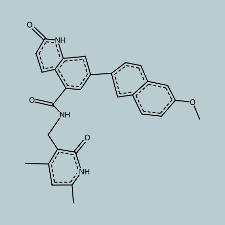 COc1ccc2cc(-c3cc(C(=O)NCc4c(C)cc(C)[nH]c4=O)c4ccc(=O)[nH]c4c3)ccc2c1